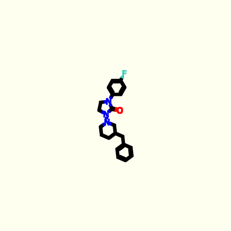 O=C1N(c2ccc(F)cc2)CCN1N1CCCC(Cc2ccccc2)C1